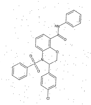 O=C(Nc1ccccc1)c1cccc2c1OCC(c1ccc(Cl)cc1)N2S(=O)(=O)c1ccccc1